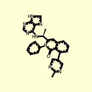 Cc1ncc(-c2cccc3cc([C@H](C)Nc4ncnc5[nH]cnc45)n(-c4ccccc4)c(=O)c23)cn1